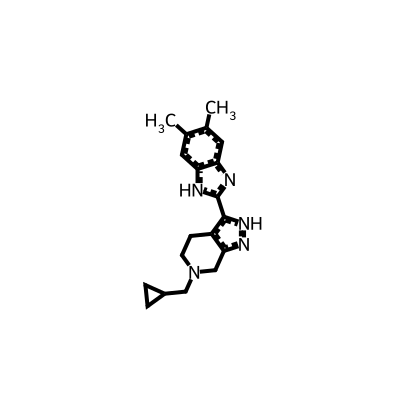 Cc1cc2nc(-c3[nH]nc4c3CCN(CC3CC3)C4)[nH]c2cc1C